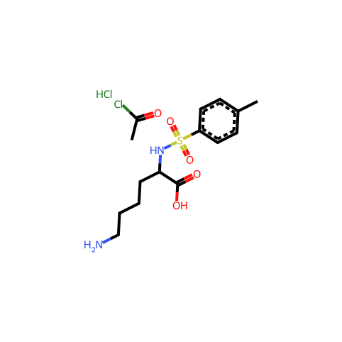 CC(=O)Cl.Cc1ccc(S(=O)(=O)NC(CCCCN)C(=O)O)cc1.Cl